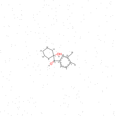 Cc1ccc(C(=O)C2(O)CCCCC2)cc1C